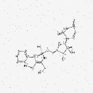 CC(C)CC(N[P@@](O)(=S)OC[C@H]1O[C@@H](n2ccc(=O)[nH]c2=O)[C@](C)(O)[C@@H]1O)=C(Oc1ccccc1)OC(C)C